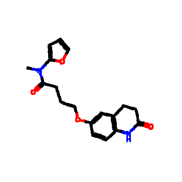 CN(C(=O)CCCOc1ccc2c(c1)CCC(=O)N2)c1ccco1